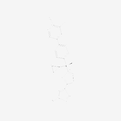 Cc1cc(-c2ccc([C@](C)(c3noc(-c4cnn(C)c4)n3)C3CC3)cc2)cnc1N